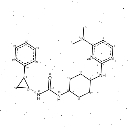 CN(C)c1ccnc(NC2CCC(NC(=O)N[C@@H]3C[C@H]3c3ccccc3)CC2)n1